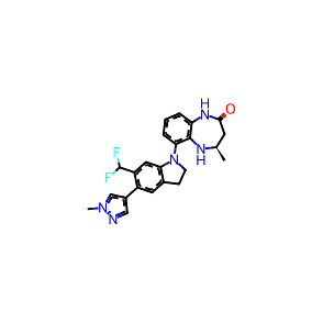 C[C@@H]1CC(=O)Nc2cccc(N3CCc4cc(-c5cnn(C)c5)c(C(F)F)cc43)c2N1